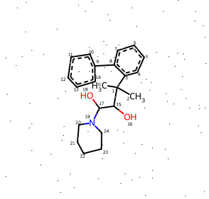 CC(C)(c1ccccc1-c1ccccc1)C(O)C(O)N1CCCCC1